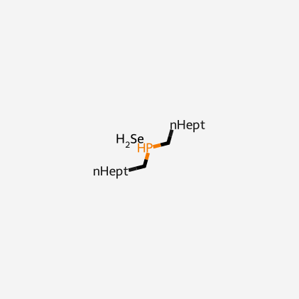 CCCCCCCCPCCCCCCCC.[SeH2]